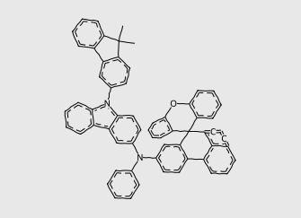 CC1(C)c2ccccc2-c2cc(-n3c4ccccc4c4cc(N(c5ccccc5)c5ccc6c(c5)C5(c7ccccc7Oc7ccccc75)c5cccc7cccc-6c57)ccc43)ccc21